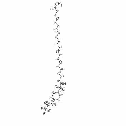 CNCCOCCOCCOCCOCCOCCOCCNS(=O)(=O)c1ccc(NC(=O)C(F)(F)F)cc1